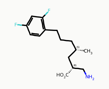 C[C@@H](CCCc1ccc(F)cc1F)C[C@H](CN)C(=O)O